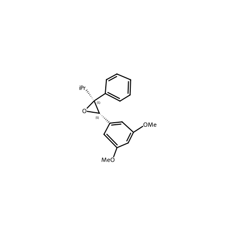 COc1cc(OC)cc([C@@H]2O[C@]2(c2ccccc2)C(C)C)c1